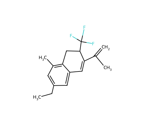 C=C(C)C1=Cc2cc(CC)cc(C)c2CC1C(F)(F)F